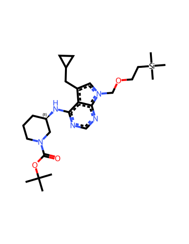 CC(C)(C)OC(=O)N1CCC[C@@H](Nc2ncnc3c2c(CC2CC2)cn3COCC[Si](C)(C)C)C1